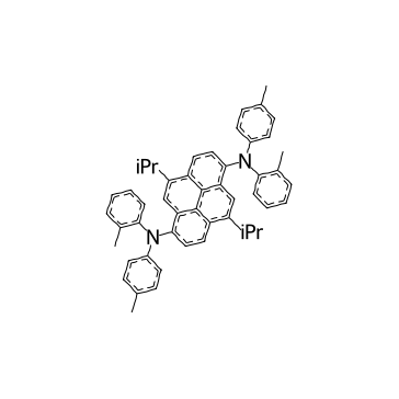 Cc1ccc(N(c2ccccc2C)c2ccc3c(C(C)C)cc4c(N(c5ccc(C)cc5)c5ccccc5C)ccc5c(C(C)C)cc2c3c54)cc1